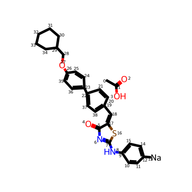 CC(=O)O.O=C1N=C(Nc2cc[c]([Na])cc2)S/C1=C/c1ccc(-c2ccc(OCC3CCCCC3)cc2)cc1